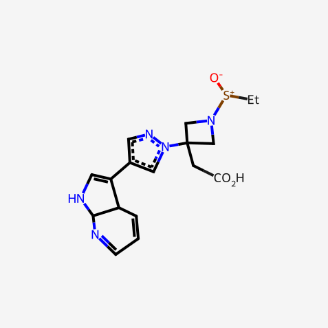 CC[S+]([O-])N1CC(CC(=O)O)(n2cc(C3=CNC4N=CC=CC34)cn2)C1